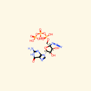 [N-]=[N+]=N[C@]1(COP(=O)(O)OP(=O)(O)OP(=O)(O)O)O[C@@H](n2cnc3c(=O)[nH]c(N)nc32)[C@H](O)[C@@H]1O